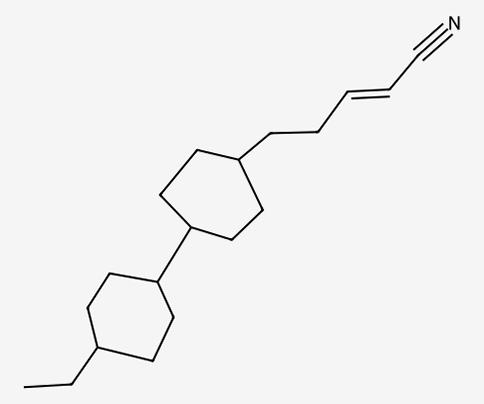 CCC1CCC(C2CCC(CCC=CC#N)CC2)CC1